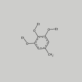 [CH2]c1cc(OCC)c(OCC)c(OCC)c1